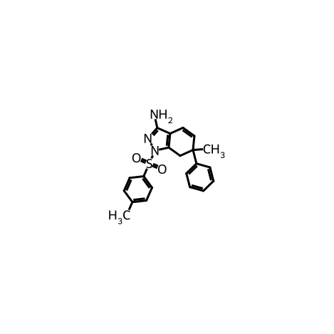 Cc1ccc(S(=O)(=O)n2nc(N)c3c2CC(C)(c2ccccc2)C=C3)cc1